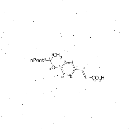 CCCCCC(C)Oc1ccc(/C=C/C(=O)O)cc1